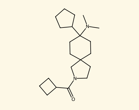 CN(C)C1(C2CCCC2)CCC2(CCN(C(=O)C3CCC3)C2)CC1